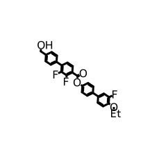 CCOc1ccc(-c2ccc(OC(=O)c3ccc(-c4ccc(CO)cc4)c(F)c3F)cc2)cc1F